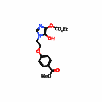 CCOC(=O)Oc1ncn(CCOc2ccc(C(=O)OC)cc2)c1O